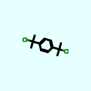 CC(C)(Cl)c1ccc(C(C)(C)Cl)cc1